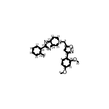 COc1ccc(-c2cc(Cn3ccc4nc(-c5ccccc5F)nc-4c3)on2)c(OC)c1